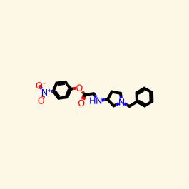 O=C(CNC1CCN(Cc2ccccc2)C1)Oc1ccc([N+](=O)[O-])cc1